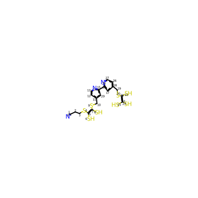 N#CCCS/C(S)=C(/S)SCc1ccnc(-c2cc(CSC(S)=C(S)S)ccn2)c1